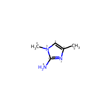 Cc1cn(C)c(N)n1